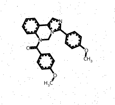 COc1ccc(C(=O)N2Cn3c(cnc3-c3ccc(OC)cc3)-c3ccccc32)cc1